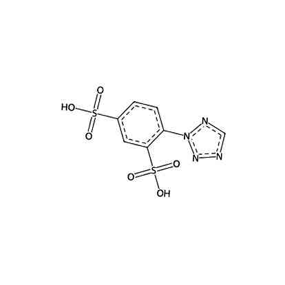 O=S(=O)(O)c1ccc(-n2ncnn2)c(S(=O)(=O)O)c1